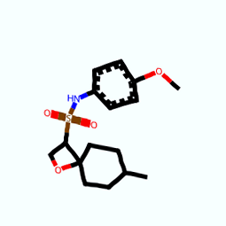 COc1ccc(NS(=O)(=O)C2COC23CCC(C)CC3)cc1